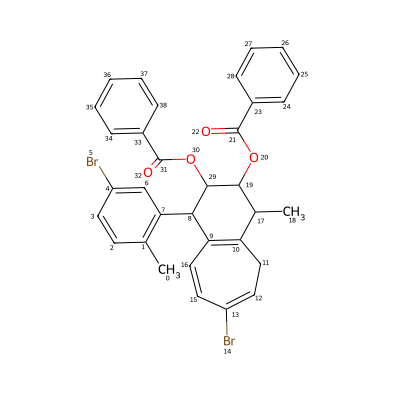 Cc1ccc(Br)cc1C1C2=C(CC=C(Br)C=C2)C(C)C(OC(=O)c2ccccc2)C1OC(=O)c1ccccc1